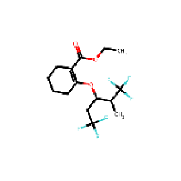 CCOC(=O)C1=C(OC(CC(F)(F)F)C(C)C(F)(F)F)CCCC1